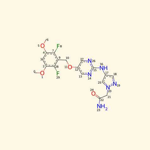 COc1cc(OC)c(F)c(COc2cnc(Nc3cnn(CC(N)=O)c3)nc2)c1F